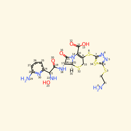 NCCSc1nnc(SC2=C(C(=O)O)N3C(=O)[C@@H](NC(=O)C(NO)c4cccc(N)n4)[C@@H]3SC2)s1